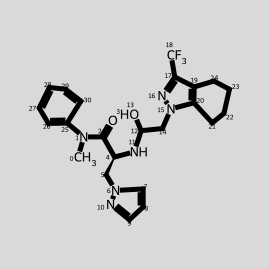 CN(C(=O)[C@H](Cn1cccn1)NC(O)Cn1nc(C(F)(F)F)c2c1CCCC2)c1ccccc1